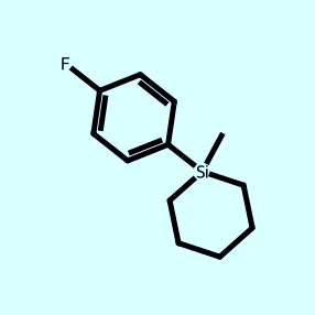 C[Si]1(c2ccc(F)cc2)CCCCC1